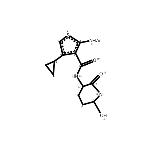 CC(=O)Nc1scc(C2CC2)c1C(=O)NC1CCC(O)NC1=O